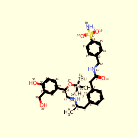 C[C@H](Cc1cccc(CC(=O)NCc2ccc(S(N)(=O)=O)cc2)c1)NC[C@H](O[Si](C)(C)C(C)(C)C)c1ccc(O)c(CO)c1